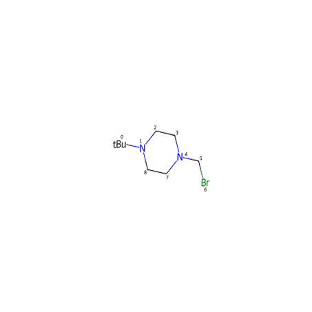 CC(C)(C)N1CCN(CBr)CC1